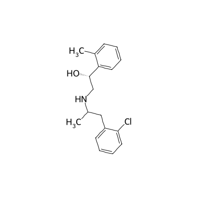 Cc1ccccc1[C@@H](O)CNC(C)Cc1ccccc1Cl